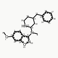 COc1ccc2c(N(C)C3CC(Cc4ccccc4)CCN3)noc2c1